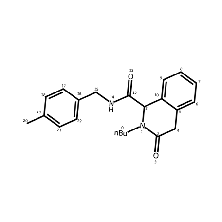 CCCCN1C(=O)Cc2ccccc2C1C(=O)NCc1ccc(C)cc1